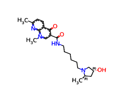 Cc1ccc2c(=O)c(C(=O)NCCCCCCN3C[C@H](O)C[C@H]3C)cn(C)c2n1